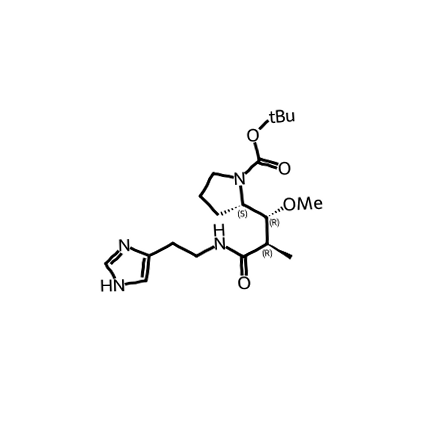 CO[C@H]([C@@H](C)C(=O)NCCc1c[nH]cn1)[C@@H]1CCCN1C(=O)OC(C)(C)C